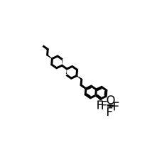 CCC[C@H]1CC[C@H]([C@H]2CC[C@H](CCc3ccc4c(F)c(OC(F)(F)F)ccc4c3)CC2)CC1